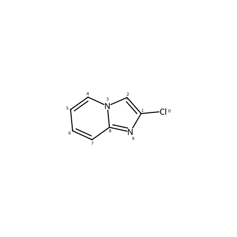 Clc1[c]n2ccccc2n1